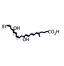 CC/C=C\C[C@@H](O)/C=C/C=C\CC(O)/C=C/C=C/C=C(\C)CCCC(=O)O